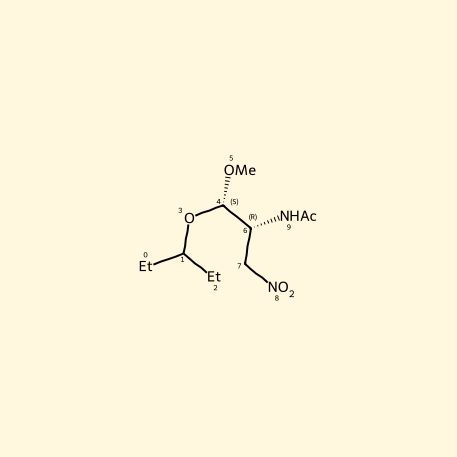 CCC(CC)O[C@H](OC)[C@@H](C[N+](=O)[O-])NC(C)=O